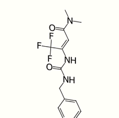 CN(C)C(=O)C=C(NC(=O)NCc1ccccc1)C(F)(F)F